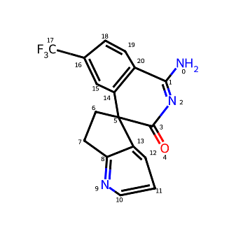 NC1=NC(=O)C2(CCc3ncccc32)c2cc(C(F)(F)F)ccc21